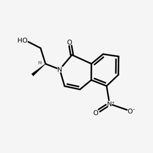 C[C@@H](CO)n1ccc2c([N+](=O)[O-])cccc2c1=O